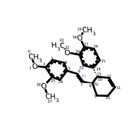 COc1ccc(/C=C/[C@@H]2CCC=C[C@H]2c2ccc(OC)c(OC)c2)cc1OC